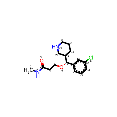 CNC(=O)CCO[C@@H](c1cccc(Cl)c1)C1CCCNC1